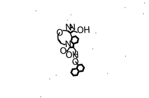 Cn1nc(CO)c2c1COC/C=C\Cn1c(C(=O)O)c(CCCOc3cccc4ccccc34)c3cccc-2c31